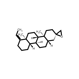 C/C=C1/CCC[C@H]2[C@@H]3CC[C@H]4C[C@]5(CC[C@]4(C)[C@H]3CC[C@]12C)CO5